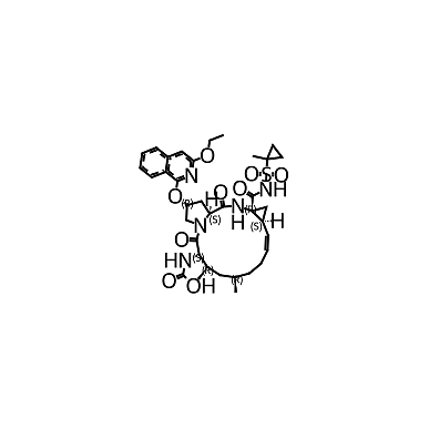 CCOc1cc2ccccc2c(O[C@@H]2C[C@H]3C(=O)N[C@]4(C(=O)NS(=O)(=O)C5(C)CC5)C[C@H]4C=CCC[C@@H](C)C[C@@H](C)[C@H](NC(=O)O)C(=O)N3C2)n1